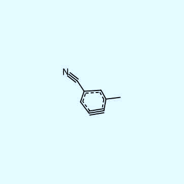 Cc1c#ccc(C#N)c1